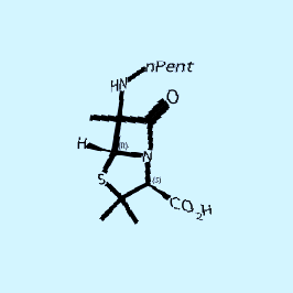 CCCCCNC1(C)C(=O)N2[C@@H](C(=O)O)C(C)(C)S[C@@H]21